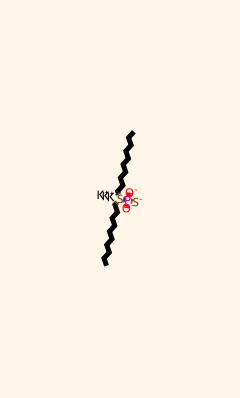 CCCCCCCCCCS(CCCCCCCCCC)=P([O-])([O-])[S-].[K+].[K+].[K+]